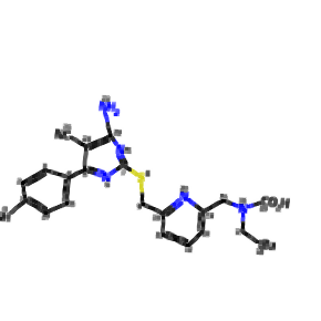 CC(=O)Nc1ccc(-c2nc(SCc3cccc(CN(CC(C)(C)C)C(=O)O)n3)nc(N)c2C#N)cc1